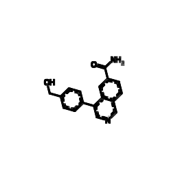 NC(=O)c1ccc2cncc(-c3ccc(CO)cc3)c2c1